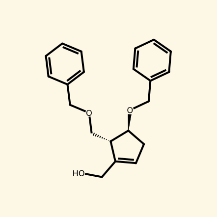 OCC1=CC[C@H](OCc2ccccc2)[C@H]1COCc1ccccc1